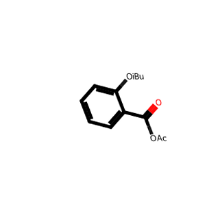 CC(=O)OC(=O)c1ccccc1OCC(C)C